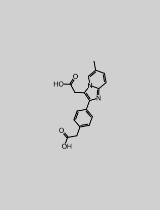 Cc1ccc2nc(-c3ccc(CC(=O)O)cc3)c(CC(=O)O)n2c1